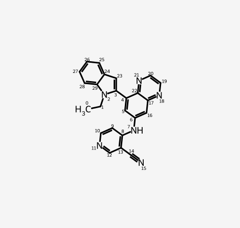 CCn1c(-c2cc(Nc3ccncc3C#N)cc3nccnc23)cc2ccccc21